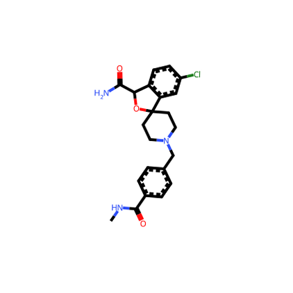 CNC(=O)c1ccc(CN2CCC3(CC2)OC(C(N)=O)c2ccc(Cl)cc23)cc1